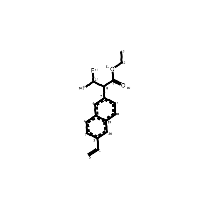 C=Cc1ccc2cc(C(C(=O)OCC)C(F)F)ccc2c1